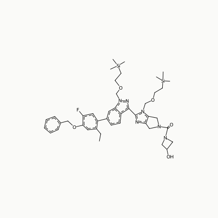 CCc1cc(OCc2ccccc2)c(F)cc1-c1ccc2c(-c3nc4c(n3COCC[Si](C)(C)C)CN(C(=O)N3CC(O)C3)C4)nn(COCC[Si](C)(C)C)c2c1